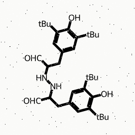 CC(C)(C)c1cc(CC([C]=O)NNC([C]=O)Cc2cc(C(C)(C)C)c(O)c(C(C)(C)C)c2)cc(C(C)(C)C)c1O